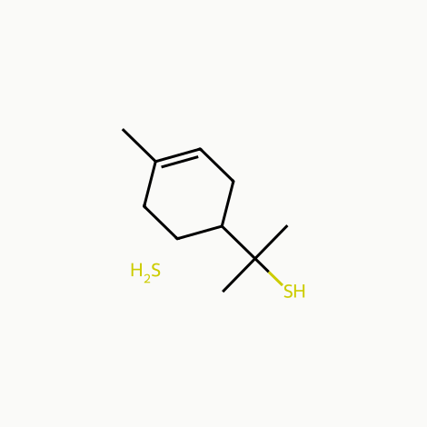 CC1=CCC(C(C)(C)S)CC1.S